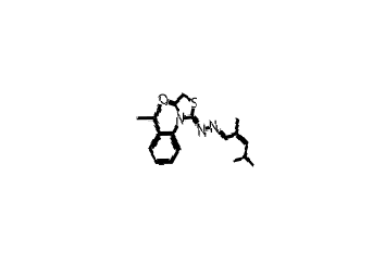 CC(=C/C(C)C)/C=N/N=C1\SCC(=O)N1c1ccccc1C(C)C